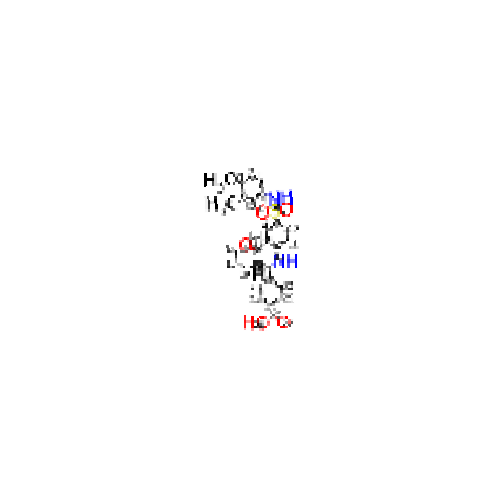 Cc1ccc(NS(=O)(=O)c2ccc3c(c2)[C@H]2OCCC[C@H]2C(c2ccc(C(=O)O)cc2)N3)cc1C